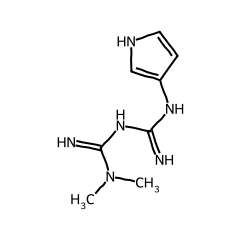 CN(C)C(=N)NC(=N)Nc1cc[nH]c1